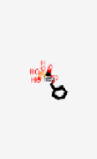 CCCCP(O)(O)(O)C(=O)OCc1ccccc1